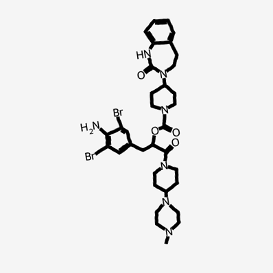 CN1CCN(C2CCN(C(=O)C(Cc3cc(Br)c(N)c(Br)c3)OC(=O)N3CCC(N4CCc5ccccc5NC4=O)CC3)CC2)CC1